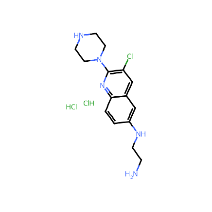 Cl.Cl.NCCNc1ccc2nc(N3CCNCC3)c(Cl)cc2c1